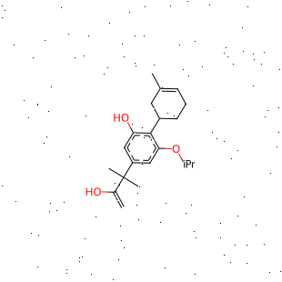 C=C(O)C(C)(C)c1cc(O)c(C2CCC=C(C)C2)c(OC(C)C)c1